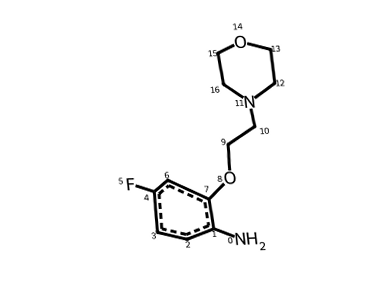 Nc1ccc(F)cc1OCCN1CCOCC1